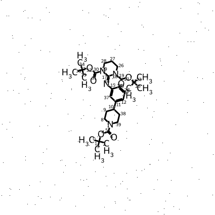 CC(C)(C)OC(=O)N1CCC(c2cccc(N=C3N(C(=O)OC(C)(C)C)CCCN3C(=O)OC(C)(C)C)c2)CC1